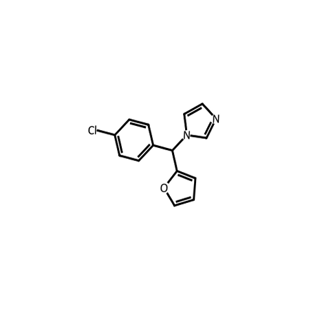 Clc1ccc(C(c2ccco2)n2ccnc2)cc1